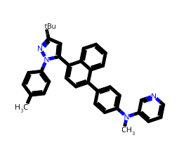 Cc1ccc(-n2nc(C(C)(C)C)cc2-c2ccc(-c3ccc(N(C)c4cccnc4)cc3)c3ccccc23)cc1